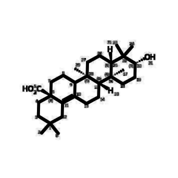 CC1(C)CC[C@]2(C(=O)O)CCC3C(=C2C1)CC[C@H]1[C@]2(C)CC[C@@H](O)C(C)(C)[C@H]2CC[C@]31C